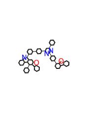 c1ccc(-c2cc(-c3ccc(-c4cccc(-c5nc6ccccc6c6c(-c7ccccc7)c7c(cc56)oc5ccccc57)c4)cc3)nc(-c3ccc(-c4cccc5c4oc4ccccc45)cc3)n2)cc1